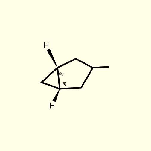 CC1C[C@@H]2C[C@@H]2C1